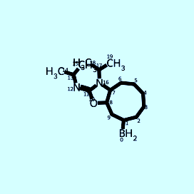 BC1CCCCCC2C(C1)O/C(=N/C(C)C)N2C(C)C